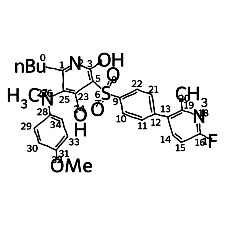 CCCCc1nc(O)c(S(=O)(=O)c2ccc(-c3ccc(F)nc3C)cc2)c(O)c1N(C)c1ccc(OC)cc1